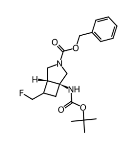 CC(C)(C)OC(=O)N[C@@]12CC(CF)[C@@H]1CN(C(=O)OCc1ccccc1)C2